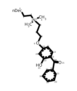 CCCCCCCCCCCC[N+](C)(C)CCCOc1ccc(C(=O)c2ccccc2)c(O)c1